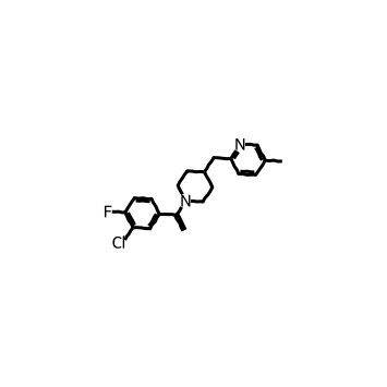 C=C(c1ccc(F)c(Cl)c1)N1CCC(Cc2ccc(C)cn2)CC1